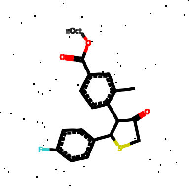 CCCCCCCCOC(=O)c1ccc(C2C(=O)CSC2c2ccc(F)cc2)c(C)c1